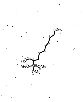 CCCCCCCCCCCCCCCCCC(SS)[Si](OC)(OC)OC